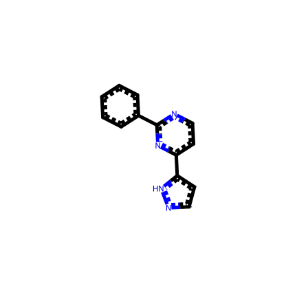 [c]1cc(-c2ccnc(-c3ccccc3)n2)[nH]n1